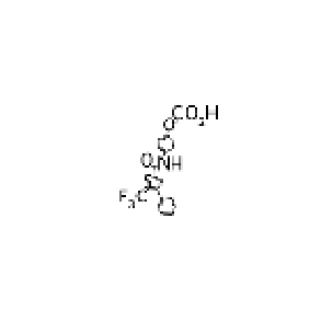 O=C(O)COc1ccc(NC(=O)c2cc(-c3ccccc3)c(C(F)(F)F)s2)cc1